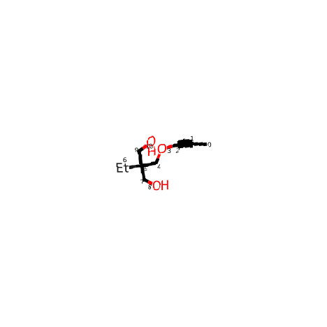 CC#COCC(CC)(CO)CO